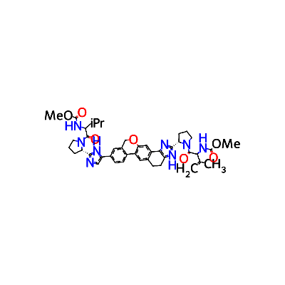 C=C(C)[C@H](NC(=O)OC)C(=O)N1CCC[C@H]1c1nc2c([nH]1)CCc1cc3c(cc1-2)OCc1cc(-c2cnc([C@@H]4CCCN4C(=O)C(NC(=O)OC)C(C)C)[nH]2)ccc1-3